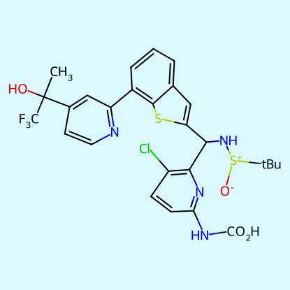 CC(C)(C)[S+]([O-])NC(c1cc2cccc(-c3cc(C(C)(O)C(F)(F)F)ccn3)c2s1)c1nc(NC(=O)O)ccc1Cl